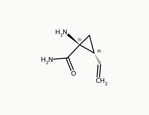 C=C[C@H]1C[C@@]1(N)C(N)=O